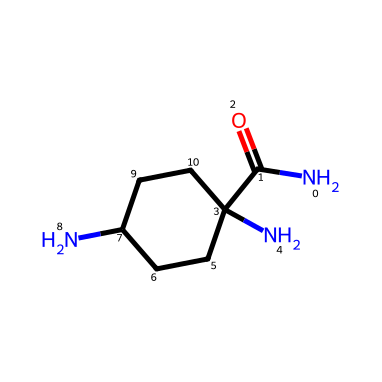 NC(=O)C1(N)CCC(N)CC1